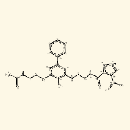 CC(=O)NCCNc1nc(-c2ccccc2)nc(NCCNC(=O)c2n[nH]cc2[N+](=O)[O-])c1C